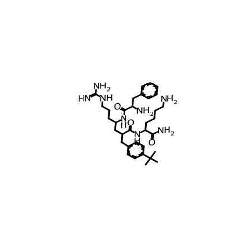 CC(C)(C)c1ccc(CC(CC(CCCNC(=N)N)NC(=O)C(N)Cc2ccccc2)C(=O)NC(CCCCN)C(N)=O)cc1